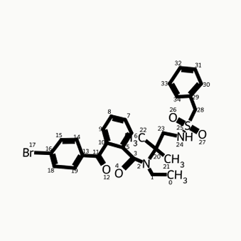 CCN(C(=O)c1ccccc1C(=O)c1ccc(Br)cc1)C(C)(C)CNS(=O)(=O)Cc1ccccc1